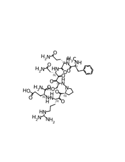 CN[C@@H](Cc1ccccc1)C(=O)N[C@@H](CCC(N)=O)C(=O)N[C@@H](CC(N)=O)C(=O)C(=O)[C@H](CO)NN1CCC[C@H]1C(=O)C(=O)[C@H](CCCNC(N)N)NN[C@@H](CCC(=O)O)C(N)=O